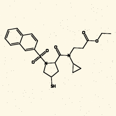 CCOC(=O)CCN(C(=O)C1CC(S)CN1S(=O)(=O)c1ccc2ccccc2c1)C1CC1